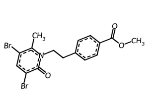 COC(=O)c1ccc(CCn2c(C)c(Br)cc(Br)c2=O)cc1